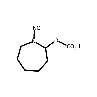 O=NN1CCCCCC1OC(=O)O